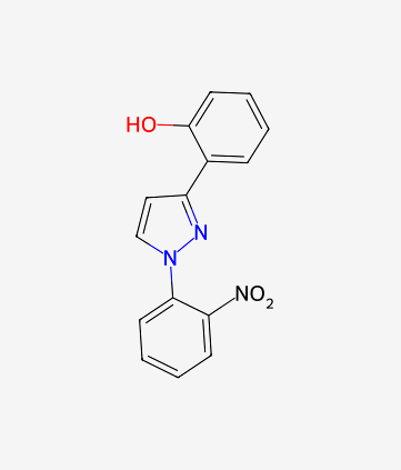 O=[N+]([O-])c1ccccc1-n1ccc(-c2ccccc2O)n1